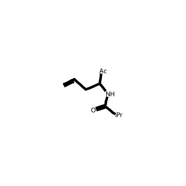 C=CCC(NC(=O)C(C)C)C(C)=O